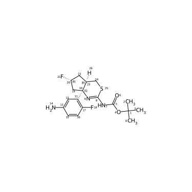 CC(C)(C)OC(=O)NC1=N[C@@]2(c3cc(N)ccc3F)C[C@H](F)C[C@H]2CS1